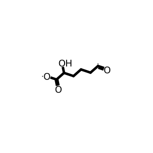 [O]C(=O)C(O)CCC[C]=O